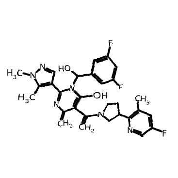 C=C1N=C(c2cnn(C)c2C)N(C(O)c2cc(F)cc(F)c2)C(O)=C1C(=C)N1CCC(c2ncc(F)cc2C)C1